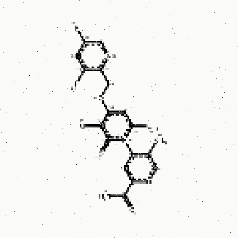 Cc1cnc(C(N)=O)cc1-n1c(C)cc(OCc2ncc(F)cc2F)c(Cl)c1=O